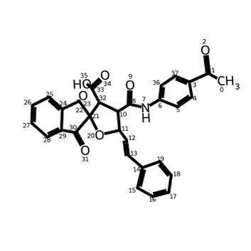 CC(=O)c1ccc(NC(=O)C2C(/C=C/c3ccccc3)OC3(C(=O)c4ccccc4C3=O)C2C(=O)O)cc1